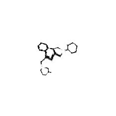 CC1CCCN(Cc2cc3c(c4ccccc24)CN(C2CCCCC2O)C3)C1